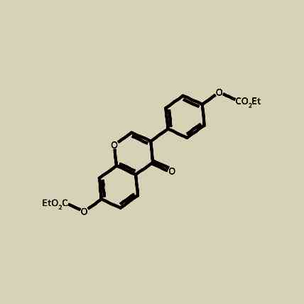 CCOC(=O)Oc1ccc(-c2coc3cc(OC(=O)OCC)ccc3c2=O)cc1